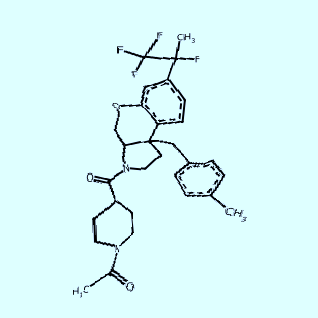 CC(=O)N1CCC(C(=O)N2CCC3(Cc4ccc(C)cc4)c4ccc(C(C)(F)C(F)(F)F)cc4OCC23)CC1